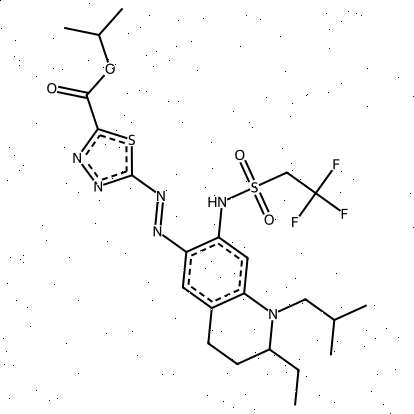 CCC1CCc2cc(N=Nc3nnc(C(=O)OC(C)C)s3)c(NS(=O)(=O)CC(F)(F)F)cc2N1CC(C)C